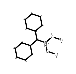 CCO[SiH](OCC)C(C1CCCCC1)C1CCCCC1